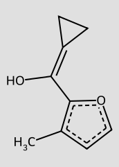 Cc1ccoc1C(O)=C1CC1